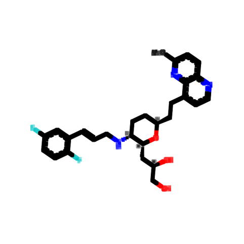 COc1ccc2nccc(CC[C@@H]3CC[C@@H](NCC=Cc4cc(F)ccc4F)[C@@H](C[C@@H](O)CO)O3)c2n1